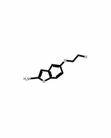 ClCCOc1ccc2o[c]([SnH3])cc2c1